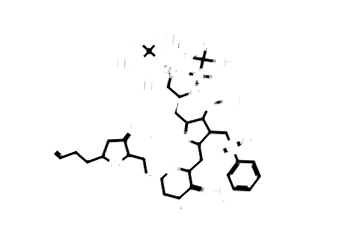 C=C1CC(CCC=O)OC1CC[C@H]1C[C@@H](C)C(=C)C(CC2OC(C[C@@H](CO[Si](C)(C)C(C)(C)C)O[Si](C)(C)C(C)(C)C)C(OC)C2CS(=O)(=O)c2ccccc2)O1